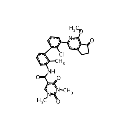 COc1nc(-c2cccc(-c3cccc(NC(=O)c4cn(C)c(=O)n(C)c4=O)c3C)c2Cl)cc2c1C(=O)CC2